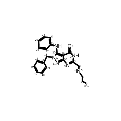 O=c1[nH]c(CNCCCl)nc2nn(Cc3ccccc3)c(Nc3ccccc3)c12